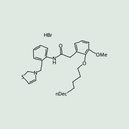 Br.CCCCCCCCCCCCCCOc1c(CC(=O)Nc2ccccc2CN2C=CSC2)cccc1OC